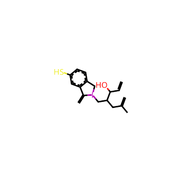 C=CC(O)C(CC(=C)C)CI1Cc2ccc(S)cc2C1=C